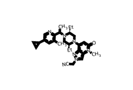 CC[C@H]1CN(C(C)c2ncc(C3CC3)cc2C)[C@H](CC)CN1c1cc(=O)n(C)c2cn(CC#N)nc12